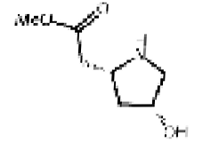 COC(=O)C[C@H]1C[C@@H](O)CN1